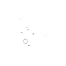 CC(=O)C(=O)[C@H](CCCNC(N)N)NN[C@H](C(=O)N[C@@H](CCCNC(N)N)C(=O)NCc1ccc(C(=N)N)cc1)C(C)C